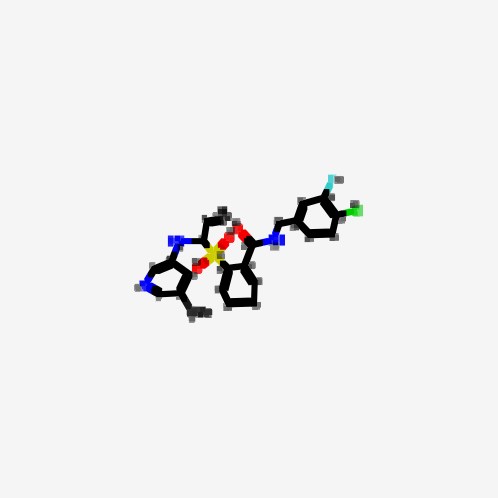 C=CC(Nc1cncc(OC)c1)S(=O)(=O)c1ccccc1C(=O)NCc1ccc(Cl)c(F)c1